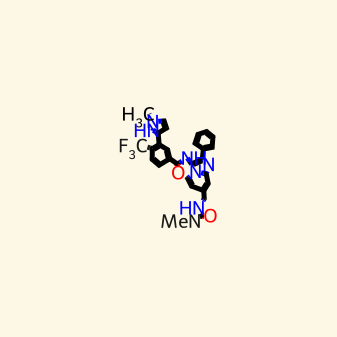 CNC(=O)NCc1ccn2c(NC(=O)c3ccc(C(F)(F)F)c(C4C=CN(C)N4)c3)c(-c3ccccc3)nc2c1